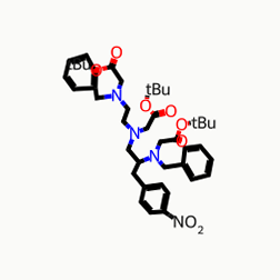 CC(C)(C)OC(=O)CN(CCN(CC(=O)OC(C)(C)C)CC(Cc1ccc([N+](=O)[O-])cc1)N(CC(=O)OC(C)(C)C)Cc1ccccc1)Cc1ccccc1